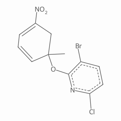 CC1(Oc2nc(Cl)ccc2Br)C=CC=C([N+](=O)[O-])C1